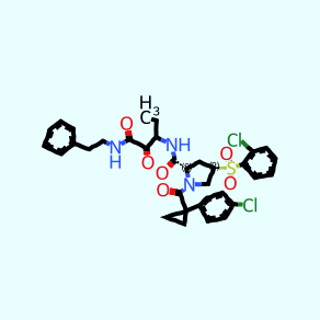 CCC(NC(=O)[C@@H]1C[C@@H](S(=O)(=O)c2ccccc2Cl)CN1C(=O)C1(c2ccc(Cl)cc2)CC1)C(=O)C(=O)NCCc1ccccc1